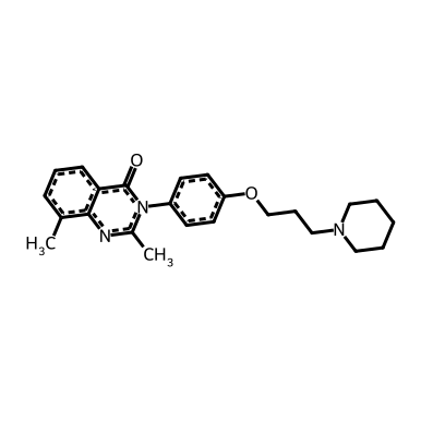 Cc1cccc2c(=O)n(-c3ccc(OCCCN4CCCCC4)cc3)c(C)nc12